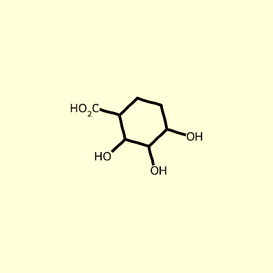 O=C(O)C1CCC(O)C(O)C1O